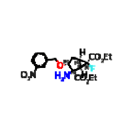 CCOC(=O)[C@@]1(N)[C@H]2[C@@H](C[C@H]1OCc1cccc([N+](=O)[O-])c1)[C@]2(F)C(=O)OCC